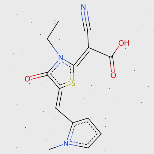 CCn1c(=O)c(=Cc2cccn2C)s/c1=C(/C#N)C(=O)O